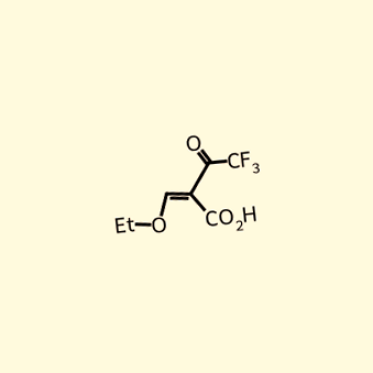 CCO/C=C(\C(=O)O)C(=O)C(F)(F)F